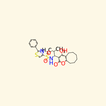 CC(C)C(NS(=O)(=O)c1csc(-c2ccccc2)n1)c1c(O)c2c(oc1=O)CCCCCC2